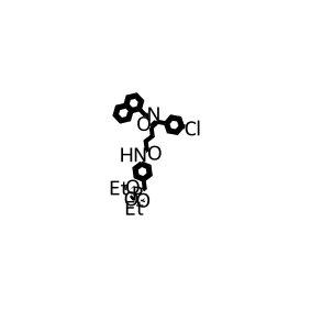 CCOP(=O)(Cc1ccc(NC(=O)CCc2oc(-c3cccc4ccccc34)nc2-c2ccc(Cl)cc2)cc1)OCC